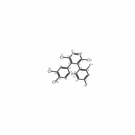 Fc1cc(F)c(-c2c(Cl)nnc(Cl)c2-c2ccc(Cl)c(Cl)c2)c(F)c1